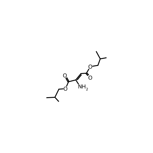 CC(C)COC(=O)C=C(N)C(=O)OCC(C)C